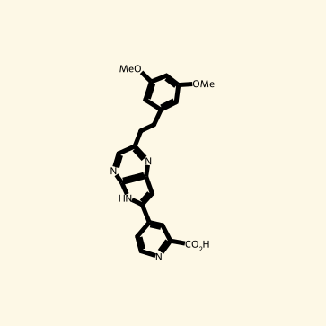 COc1cc(CCc2cnc3[nH]c(-c4ccnc(C(=O)O)c4)cc3n2)cc(OC)c1